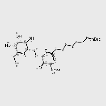 CCCCCCCCCCCCCCCCCC(=O)N[C@@H](CO[C@@H]1OC(CO)[C@H](O)[C@H](O)C1O)C(=O)NCCCCCC